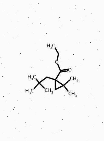 CCOC(=O)C1(CC(C)(C)C)CC1(C)C